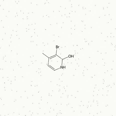 CC1=C(Br)C(O)NC=C1